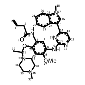 C=CCC(=O)Nc1cc(Nc2nccc(-c3cn(C)c4ccccc34)n2)c(OC)cc1OC(C)N1CCN(C)CC1